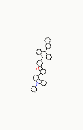 c1ccc(-n2c3ccccc3c3c(-c4cccc5c4oc4ccc(-c6c7ccccc7c(-c7ccc8ccccc8c7)c7ccccc67)cc45)cccc32)cc1